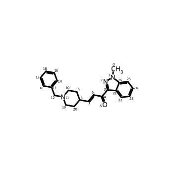 Cn1nc(C(=O)C=CC2CCN(Cc3ccccc3)CC2)c2ccccc21